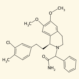 COc1cc2c(cc1OC)[C@H](CCc1ccc(C)c(Cl)c1)N(C(C(N)=O)c1ccccc1)CC2